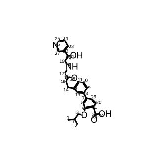 CC(C)COc1cc(-c2ccc3c(c2)CC[C@H](CNC[C@H](O)c2cccnc2)O3)ccc1C(=O)O